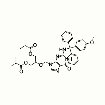 COc1ccc(C(Nc2nc3c(ncn3COC(COC(=O)C(C)C)COC(=O)C(C)C)c(=O)[nH]2)(c2ccccc2)c2ccccc2)cc1